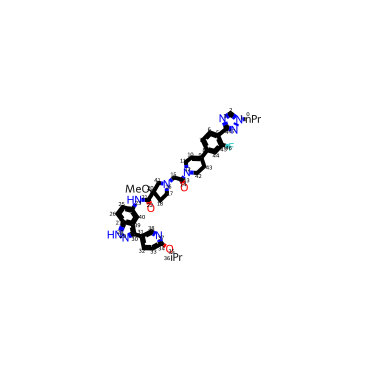 CCCn1cnc(-c2ccc(C3=CCN(C(=O)CN4CC[C@@](OC)(C(=O)Nc5ccc6[nH]nc(-c7ccc(OC(C)C)nc7)c6c5)C4)CC3)cc2F)n1